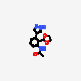 CC(=O)Nc1cccc(-c2cn[nH]c2)c1C1OCCO1